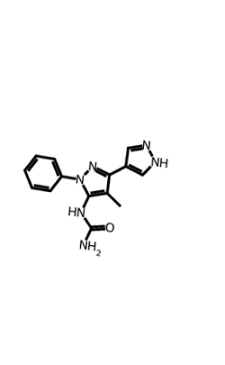 Cc1c(-c2cn[nH]c2)nn(-c2ccccc2)c1NC(N)=O